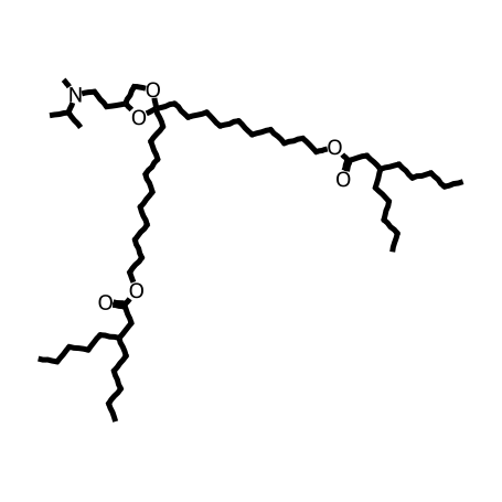 CCCCCC(CCCCC)CC(=O)OCCCCCCCCCCC1(CCCCCCCCCCOC(=O)CC(CCCCC)CCCCC)OCC(CCN(C)C(C)C)O1